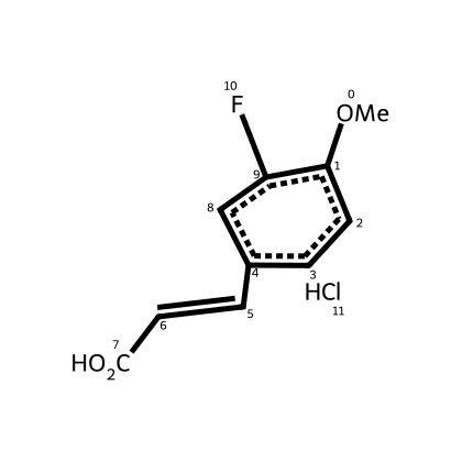 COc1ccc(C=CC(=O)O)cc1F.Cl